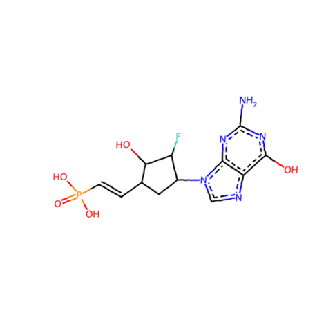 Nc1nc(O)c2ncn(C3CC(C=CP(=O)(O)O)C(O)C3F)c2n1